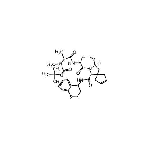 C[C@@H](C(=O)NC1CCS[C@H]2CC3(CC=CC3)[C@@H](C(=O)NC3CCSc4ccccc43)N2C1=O)N(C)C(=O)OC(C)(C)C